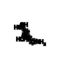 Cl.NCc1cccc(C2CCN(C(=O)c3cccc(/C=C/B(O)O)c3)CC2)c1